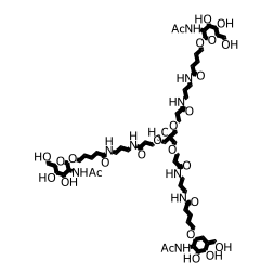 CC(=O)NC1C(OCCCCC(=O)NCCCNC(=O)CCOCC(C)(COCCC(=O)NCCCNC(=O)CCCCOC2OC(CO)C(O)C(O)C2NC(C)=O)COCCC(=O)NCCCNC(=O)CCCCOC2OC(CO)C(O)C(O)C2NC(C)=O)CC(CO)C(O)C1O